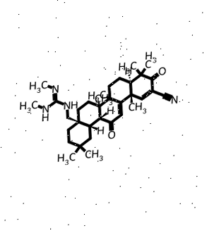 C/N=C(\NC)NC[C@]12CCC(C)(C)C[C@H]1[C@H]1C(=O)C=C3[C@@]4(C)C=C(C#N)C(=O)C(C)(C)[C@@H]4CC[C@@]3(C)[C@]1(C)CC2